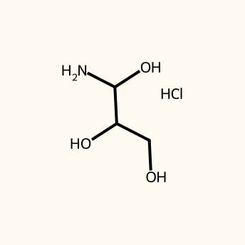 Cl.NC(O)C(O)CO